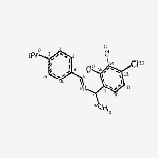 CC(C)c1ccc(C=NC(C)c2ccc(Cl)c(Cl)c2Cl)cc1